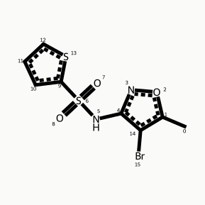 Cc1onc(NS(=O)(=O)c2cccs2)c1Br